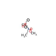 CCCCC/C(=C\c1ccc(OC)c(OCCc2ccccc2)c1)C(=O)OCC